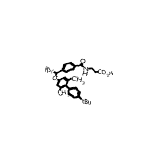 Cc1cc(OC(c2ccc(C(=O)NCCC(=O)O)cc2)C(C)C)cc(C)c1-c1ccc(C(C)(C)C)cc1